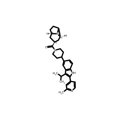 Cc1cc(-c2[nH]c3ccc(C4CCN(C(=O)[C@H]5C[C@H]6CCC7[C@@H](C5)N76)CC4)cc3c2C(C)C)ccn1